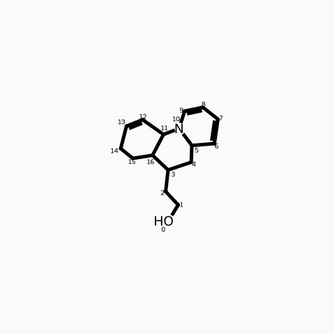 OCCC1CC2C=CC=CN2C2C=CCCC12